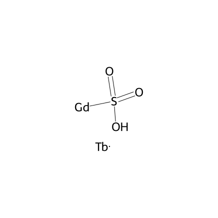 O=[S](=O)(O)[Gd].[Tb]